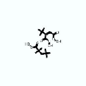 CC(C)(C)/C(=C/C(=O)OO)C(=O)OO.CC(C)(C)CC(C)(C)C(=O)OO